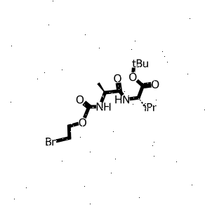 CC(C)[C@H](NC(=O)[C@H](C)NC(=O)OCCBr)C(=O)OC(C)(C)C